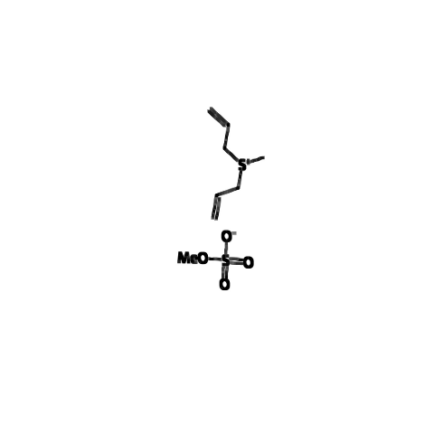 C=CC[S+](C)CC=C.COS(=O)(=O)[O-]